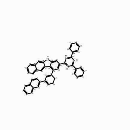 C1=C(c2ccc3ccccc3c2)C=C(c2cc(-c3nc(-c4ccccc4)nc(-c4ccccc4)n3)cc3oc4cc5ccccc5cc4c23)CC1